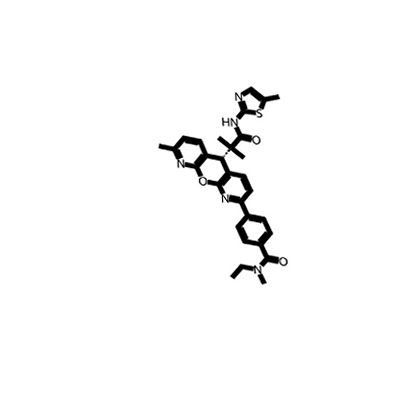 CCN(C)C(=O)c1ccc(-c2ccc3c(n2)Oc2nc(C)ccc2[C@@H]3C(C)(C)C(=O)Nc2ncc(C)s2)cc1